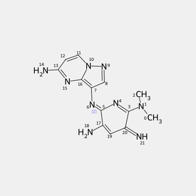 CN(C)C1=N/C(=N\c2cnn3ccc(N)nc23)C(N)=CC1=N